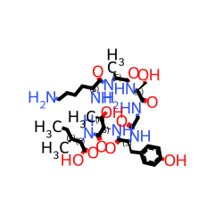 CC[C@H](C)[C@H](NC(=O)[C@@H](NC(=O)[C@H](Cc1ccc(O)cc1)NC(=O)CNC(=O)[C@H](CO)NC(=O)[C@H](C)NC(=O)[C@@H](N)CCCCN)[C@@H](C)O)C(=O)O